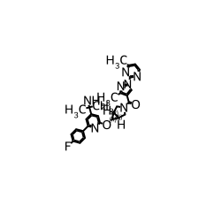 Cc1ccnc(-n2cc(C(=O)N3C[C@@H]4[C@H](C3)[C@@H]4Oc3cc(C(C)(C)N)cc(-c4ccc(F)cc4)n3)c(C)n2)n1